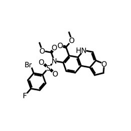 COC(=O)c1c(N(C(=O)OC)S(=O)(=O)c2ccc(F)cc2Br)ccc2c1NC=C1OCC=C12